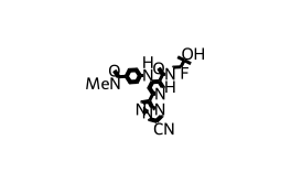 CNC(=O)c1ccc(Nc2cc(-c3cnn4cc(C#N)cnc34)ncc2C(=O)NCC(F)C(C)(C)O)cc1